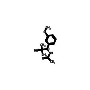 COc1cccc([C@H](NC(C)=O)C(C)(C)O)c1